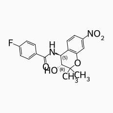 CC1(C)Oc2cc([N+](=O)[O-])ccc2[C@H](NC(=O)c2ccc(F)cc2)[C@H]1O